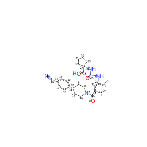 Cc1ccc(C(=O)N2CCC(c3ccc(C#N)cc3)CC2)cc1NC(=O)NC1(CO)CCCC1